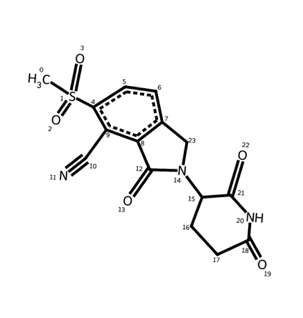 CS(=O)(=O)c1ccc2c(c1C#N)C(=O)N(C1CCC(=O)NC1=O)C2